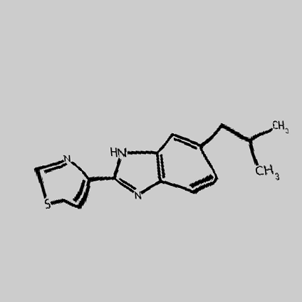 CC(C)Cc1ccc2nc(-c3cscn3)[nH]c2c1